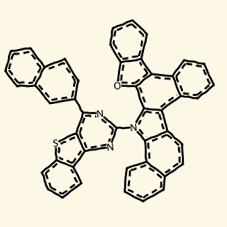 c1ccc2cc(-c3nc(-n4c5c6ccccc6ccc5c5c6ccccc6c6c7ccccc7oc6c54)nc4c3sc3ccccc34)ccc2c1